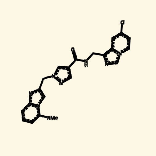 CNc1cccc2nc(Cn3cc(C(=O)NCc4ncn5ccc(Cl)cc45)cn3)cn12